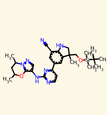 CC1CC(C)n2ncc(Nc3nccc(-c4cc(C#N)c5c(c4)C(C)(CO[Si](C)(C)C(C)(C)C)CN5)n3)c2O1